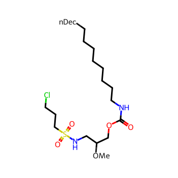 CCCCCCCCCCCCCCCCCCNC(=O)OCC(CNS(=O)(=O)CCCCl)OC